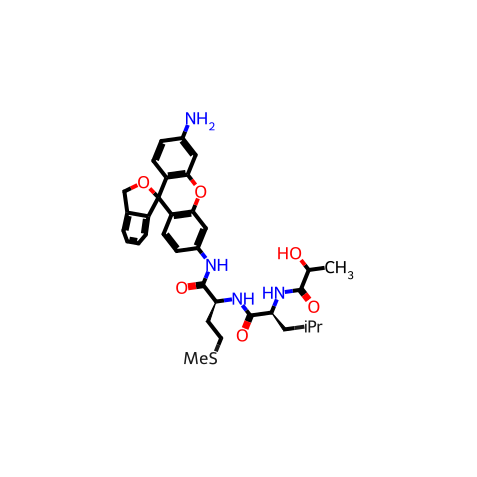 CSCC[C@H](NC(=O)[C@H](CC(C)C)NC(=O)C(C)O)C(=O)Nc1ccc2c(c1)Oc1cc(N)ccc1C21OCc2ccccc21